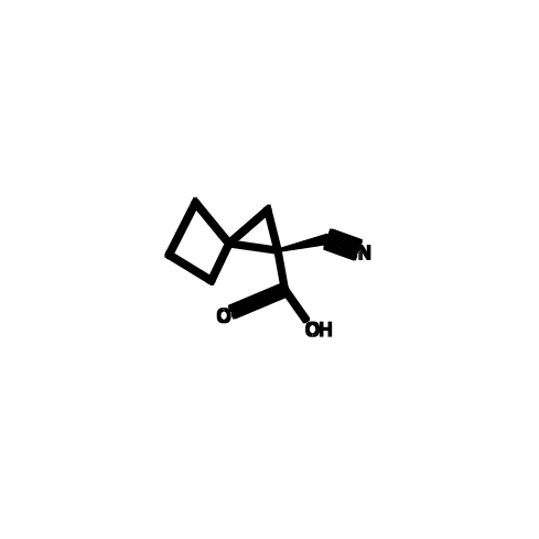 N#C[C@]1(C(=O)O)CC12CCC2